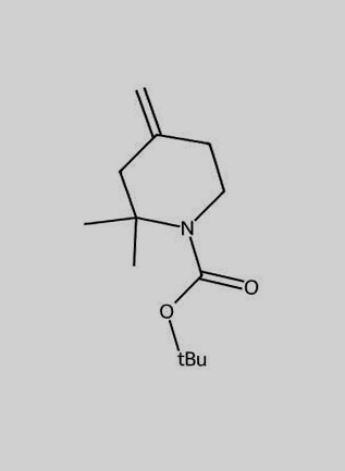 C=C1CCN(C(=O)OC(C)(C)C)C(C)(C)C1